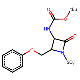 CC(C)(C)OC(=O)NC1C(=O)N(S(=O)(=O)O)C1COc1ccccc1